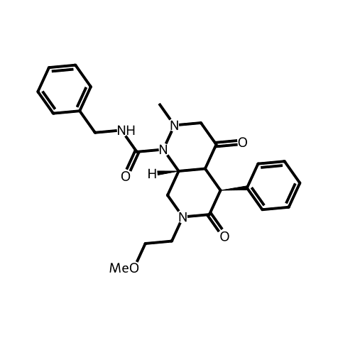 COCCN1C[C@H]2C(C(=O)CN(C)N2C(=O)NCc2ccccc2)[C@@H](c2ccccc2)C1=O